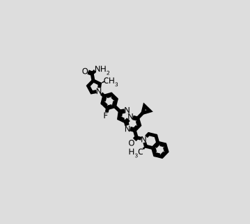 C[C@@H]1c2ccccc2CCN1C(=O)c1cc(C2CC2)n2nc(-c3ccc(N4CCC(C(N)=O)[C@@H]4C)cc3F)cc2n1